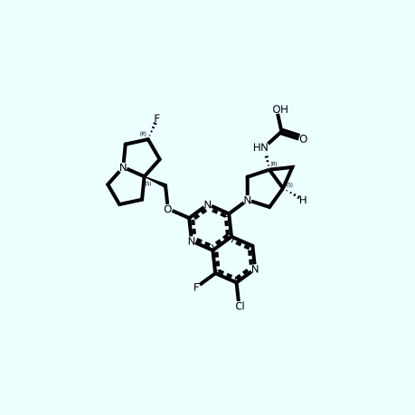 O=C(O)N[C@]12C[C@H]1CN(c1nc(OC[C@@]34CCCN3C[C@H](F)C4)nc3c(F)c(Cl)ncc13)C2